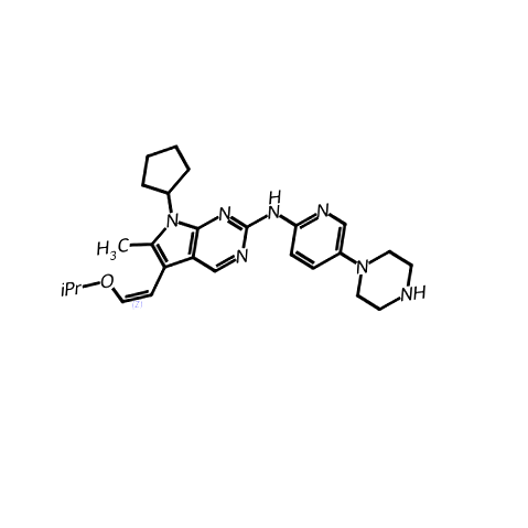 Cc1c(/C=C\OC(C)C)c2cnc(Nc3ccc(N4CCNCC4)cn3)nc2n1C1CCCC1